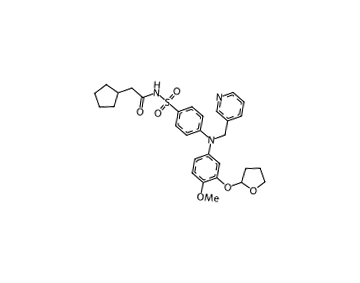 COc1ccc(N(Cc2cccnc2)c2ccc(S(=O)(=O)NC(=O)CC3CCCC3)cc2)cc1OC1CCCO1